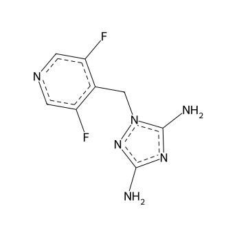 Nc1nc(N)n(Cc2c(F)cncc2F)n1